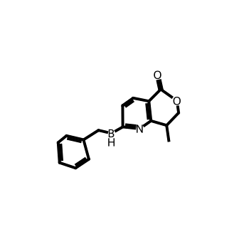 CC1COC(=O)c2ccc(BCc3ccccc3)nc21